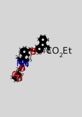 CCOC(=O)CC1c2ccccc2-c2cc(OCc3cccc(-c4c(C)nc(OC[C@H]5COC(C)(C)O5)nc4C)c3C)ccc21